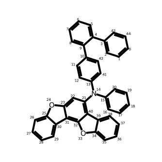 c1ccc(-c2ccccc2-c2ccc(N(c3ccccc3)c3cc4oc5ccccc5c4c4oc5ccccc5c34)cc2)cc1